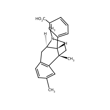 Cc1ccc2c(c1)[C@@]1(C)CCN(C)[C@H](C2)[C@@H]1c1cccc(C(=O)O)c1